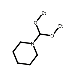 CCOC(OCC)N1CCCCC1